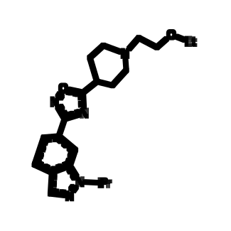 CCOCCN1CCC(c2nc(-c3ccc4cnn(C(C)C)c4c3)no2)CC1